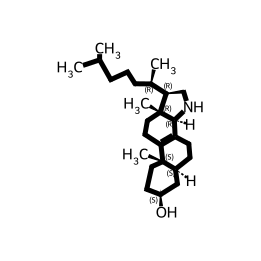 CC(C)CCC[C@@H](C)[C@H]1CN[C@H]2C3=C(CC[C@]12C)[C@@]1(C)CC[C@H](O)C[C@@H]1CC3